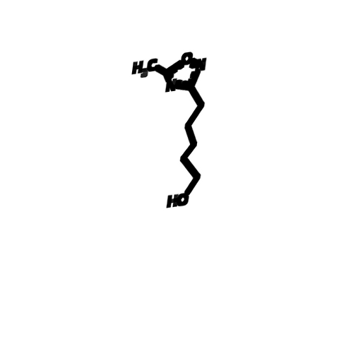 Cc1nc(CCCCCO)no1